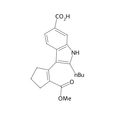 CCCCc1[nH]c2cc(C(=O)O)ccc2c1C1=C(C(=O)OC)CCC1